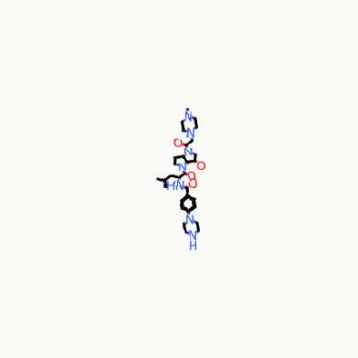 CC(C)CC(NC(=O)c1ccc(N2CCNCC2)cc1)C(=O)N1CCC2C1C(=O)CN2C(=O)CN1CCN(C)CC1